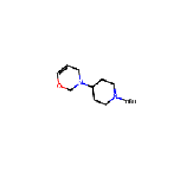 CCCCN1CCC(N2CC=COC2)CC1